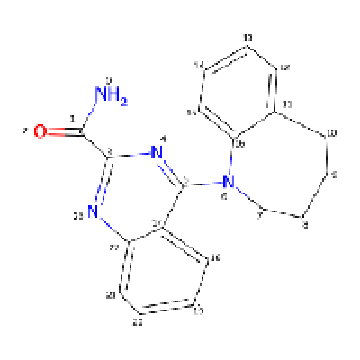 NC(=O)c1nc(N2CCCCc3ccccc32)c2c[c]ccc2n1